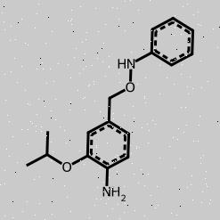 CC(C)Oc1cc(CONc2ccccc2)ccc1N